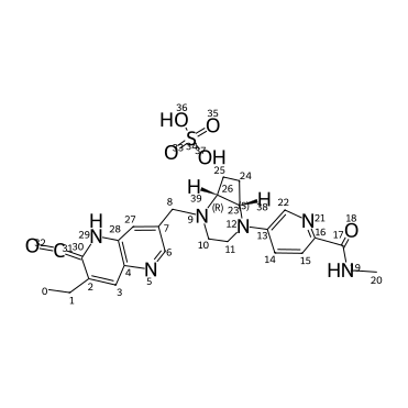 CCC1=Cc2ncc(CN3CCN(c4ccc(C(=O)NC)nc4)[C@H]4CC[C@H]43)cc2NC1=C=O.O=S(=O)(O)O